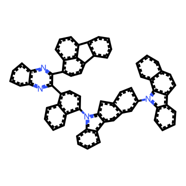 c1ccc2c(c1)-c1cccc3c(-c4nc5ccccc5nc4-c4ccc(-n5c6ccccc6c6cc7cc(-n8c9ccccc9c9ccc%10ccccc%10c98)ccc7cc65)c5ccccc45)ccc-2c13